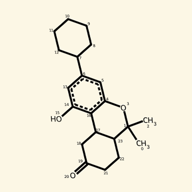 CC1(C)Oc2cc(C3CCCCC3)cc(O)c2C2CC(=O)CCC21